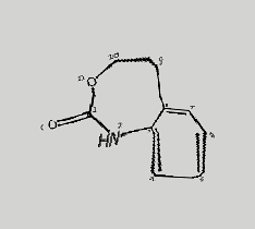 O=C1Nc2ccccc2CCO1